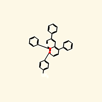 Cc1ccc(C2=C3C=CC(c4ccccc4)=C4C=C(c5ccccc5)C=NC43NC(c3ccccc3)=N2)cc1